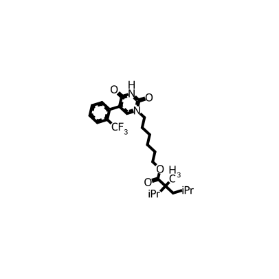 CC(C)CC(C)(C(=O)OCCCCCCn1cc(-c2ccccc2C(F)(F)F)c(=O)[nH]c1=O)C(C)C